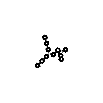 C1=Cc2c(c3cc4ccccc4cc3n2-c2ccccc2)C(c2cccc(N(c3ccc(-c4ccc(-c5ccccc5)cc4)cc3)c3ccc(-c4ccc(-c5ccccc5)cc4)cc3)c2)C1